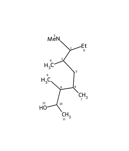 CCC(NC)C(C)CC(C)C(C)C(C)O